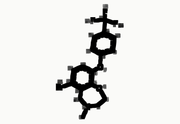 CN1CCOc2c(Oc3ccc(C(F)(F)F)cc3)ccc(Br)c2C1